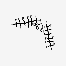 O=[PH](OP(=O)(O)C(F)(F)C(F)(F)C(F)(F)C(F)(F)C(F)(F)C(F)(F)F)C(F)(F)C(F)(F)C(F)(F)C(F)(F)C(F)(F)C(F)(F)F